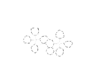 c1ccc(C2(c3ccccc3)c3ccccc3-c3c2ccc2c4c(c5ccccc5c32)[Si](c2ccccc2)(c2ccccc2)c2ccccc2-4)cc1